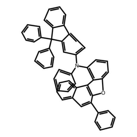 c1ccc(-c2cc3ccccc3c3c2oc2cccc(N(c4ccccc4)c4ccc5c(c4)C(c4ccccc4)(c4ccccc4)c4ccccc4-5)c23)cc1